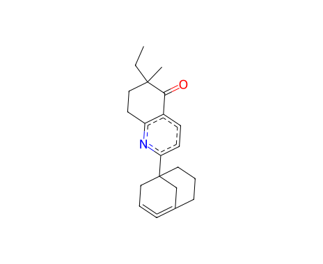 CCC1(C)CCc2nc(C34CC=C=C(CCC3)C4)ccc2C1=O